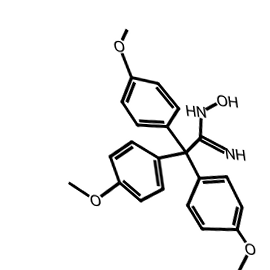 COc1ccc(C(C(=N)NO)(c2ccc(OC)cc2)c2ccc(OC)cc2)cc1